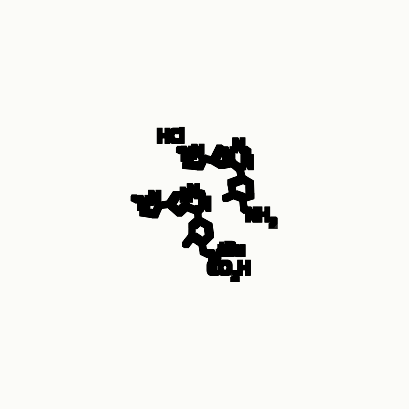 Cc1cc(-c2ncnn3cc(-c4ccn(C)n4)cc23)ccc1CN.Cc1cc(-c2ncnn3cc(-c4ccn(C)n4)cc23)ccc1CN(C(=O)O)C(C)(C)C.Cl